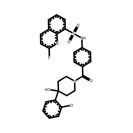 O=C(c1ccc(NS(=O)(=O)c2cccc3ccc(F)nc23)cc1)N1CCC(O)(c2ccccc2Cl)CC1